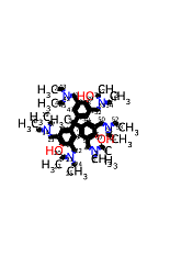 CCN(C)Cc1cc(C(C)(c2cc(CN(CC)CC)c(O)c(CN(CC)CC)c2)c2cc(CN(CC)CC)c(O)c(CN(CC)CC)c2)cc(CN(CC)CC)c1O